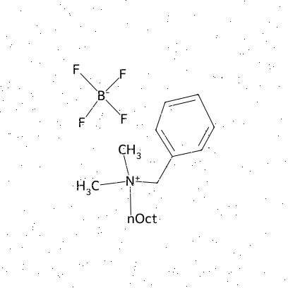 CCCCCCCC[N+](C)(C)Cc1ccccc1.F[B-](F)(F)F